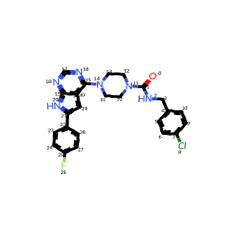 O=C(NCc1ccc(Cl)cc1)N1CCN(c2ncnc3[nH]c(-c4ccc(F)cc4)cc23)CC1